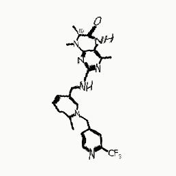 Cc1nc(NCC2=CN(Cc3ccnc(C(F)(F)F)c3)C(C)CC=C2)nc2c1NC(=O)[C@H](C)N2C